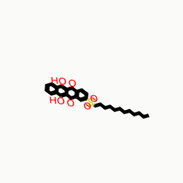 CCCCCCCCCCCCS(=O)(=O)c1ccc2c(c1)C(=O)c1c(c(O)c3ccccc3c1O)C2=O